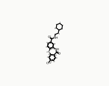 O=C(NCCC1CCCCC1)c1ccc2c(c1)NC(=O)c1ccc(Cl)cc1S2